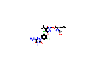 CCCC[C@H](NBOC)C(=O)OCn1nc(Oc2c(Cl)cc(-n3nc(N)c(=O)[nH]c3=O)cc2Cl)cc(C(C)C)c1=O